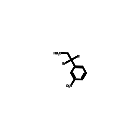 O=C(O)CC(Br)(Br)c1cccc([N+](=O)[O-])c1